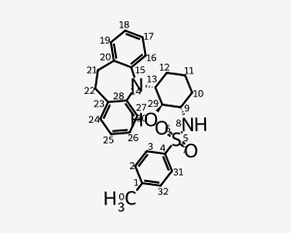 Cc1ccc(S(=O)(=O)N[C@H]2CCC[C@@H](N3c4ccccc4CCc4ccccc43)[C@@H]2O)cc1